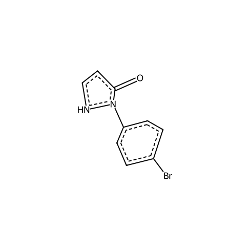 O=c1cc[nH]n1-c1ccc(Br)cc1